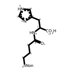 CCCCCCCCCCCCC(=O)NC(Cc1c[nH]cn1)C(=O)O